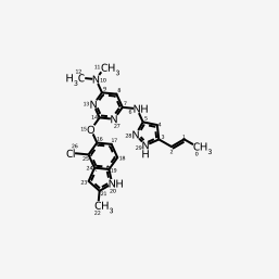 C/C=C/c1cc(Nc2cc(N(C)C)nc(Oc3ccc4[nH]c(C)cc4c3Cl)n2)n[nH]1